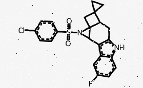 O=S(=O)(c1ccc(Cl)cc1)N1C2c3c([nH]c4ccc(F)cc34)CC3C4(CC4)CC231